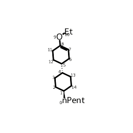 CCCCC[C@H]1CC[C@H](C2CC=C(OCC)CC2)CC1